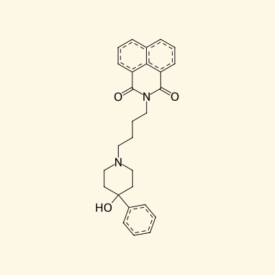 O=C1c2cccc3cccc(c23)C(=O)N1CCCCN1CCC(O)(c2ccccc2)CC1